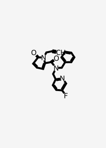 C#CCn1c(C(=O)N(Cc2ccccc2)Cc2ccc(F)cn2)cccc1=O